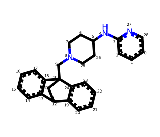 c1ccc(NC2CCN(CC34CC(c5ccccc53)c3ccccc34)CC2)nc1